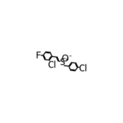 [O-][S+](C=Cc1ccc(F)cc1Cl)Cc1ccc(Cl)cc1